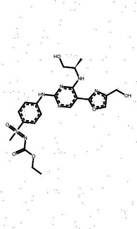 CCOC(=O)N=S(C)(=O)c1ccc(Nc2ncc(-c3nc(CO)co3)c(N[C@H](C)CO)n2)cc1